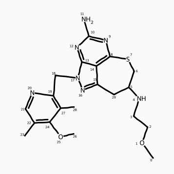 COCCNC1CSc2nc(N)nc3c2c(nn3Cc2ncc(C)c(OC)c2C)C1